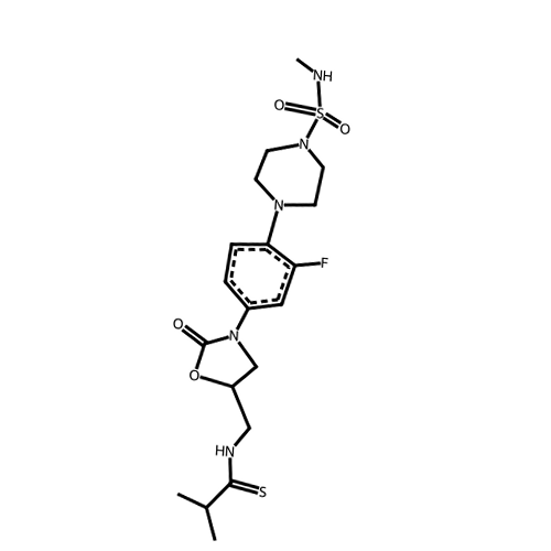 CNS(=O)(=O)N1CCN(c2ccc(N3CC(CNC(=S)C(C)C)OC3=O)cc2F)CC1